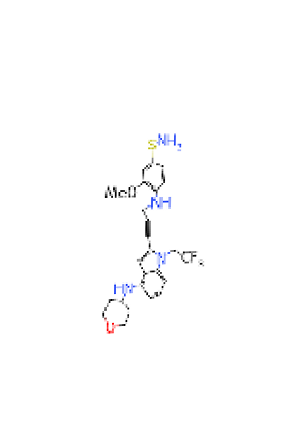 COc1cc(SN)ccc1NCC#Cc1cc2c(NC3CCOCC3)cccc2n1CC(F)(F)F